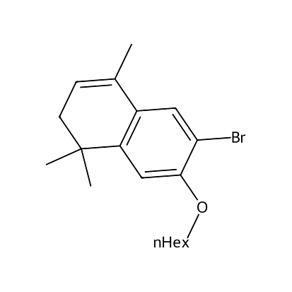 CCCCCCOc1cc2c(cc1Br)C(C)=CCC2(C)C